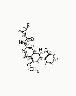 COc1cc(-c2ccncc2C)cc2cc(NC(=O)C3CC3F)nnc12